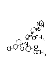 COC(=O)c1ccc2c(c1)N(C[C@@H]1CC[C@H]1C(OC)[C@H]1CCC[C@@H](Sc3ncccn3)C1)C[C@@]1(CCCc3cc(Cl)ccc31)CO2